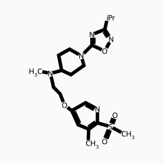 Cc1cc(OCCN(C)C2CCN(c3nc(C(C)C)no3)CC2)cnc1S(C)(=O)=O